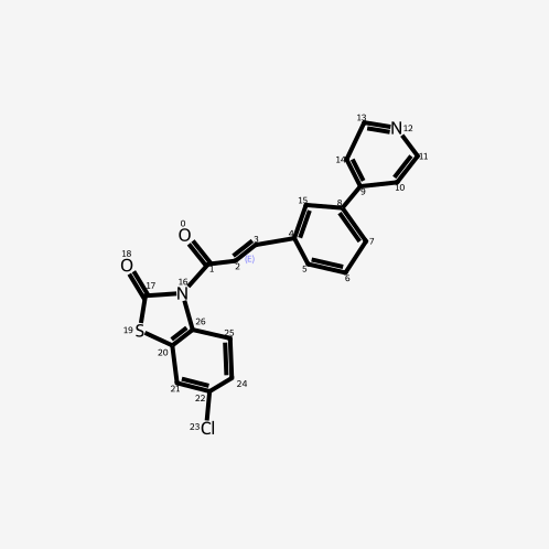 O=C(/C=C/c1cccc(-c2ccncc2)c1)n1c(=O)sc2cc(Cl)ccc21